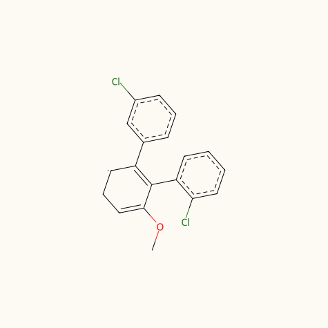 COC1=CC[CH]C(c2cccc(Cl)c2)=C1c1ccccc1Cl